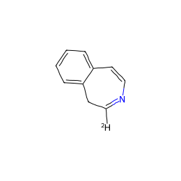 [2H]C1=NC=Cc2ccccc2C1